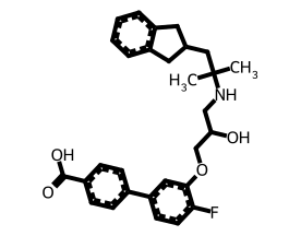 CC(C)(CC1Cc2ccccc2C1)NCC(O)COc1cc(-c2ccc(C(=O)O)cc2)ccc1F